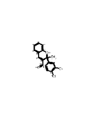 CC1(c2ccc(Cl)c(Cl)c2)Oc2ccccc2C=C1C(=O)O